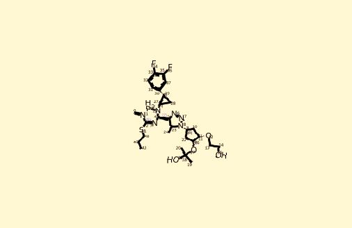 C=N/C(=N\C(=C1\N=NN([C@@H]2C[C@H](OCCO)[C@@H](OC(C)(C)O)C2)C1C)N(P)[C@@H]1C[C@H]1c1ccc(F)c(F)c1)SCCC